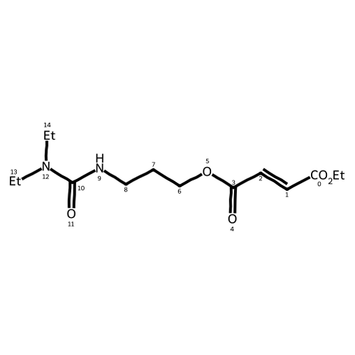 CCOC(=O)/C=C/C(=O)OCCCNC(=O)N(CC)CC